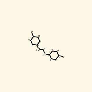 CC1CCC(OCOC2CCC(C)CC2)CC1